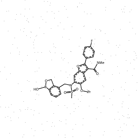 CNC(=O)c1c(-c2ccc(F)cc2)oc2cc(N(Cc3cccc4c3COB4O)S(C)(=O)=O)c(OC(C)C)cc12